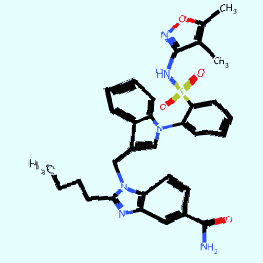 CCCCc1nc2cc(C(N)=O)ccc2n1Cc1cn(-c2ccccc2S(=O)(=O)Nc2noc(C)c2C)c2ccccc12